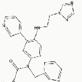 CC(C)(C)OC(=O)N(Cc1ccccc1)c1ccc(NCCn2cncn2)c(-c2cccnc2)c1